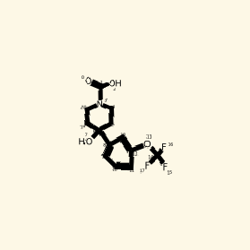 O=C(O)N1CCC(O)(c2cccc(OC(F)(F)F)c2)CC1